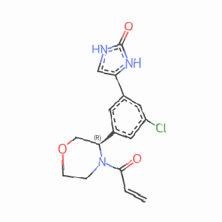 C=CC(=O)N1CCOC[C@H]1c1cc(Cl)cc(-c2c[nH]c(=O)[nH]2)c1